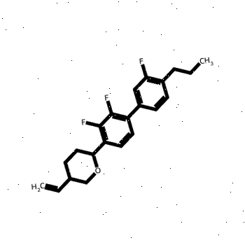 C=CC1CCC(c2ccc(-c3ccc(CCC)c(F)c3)c(F)c2F)OC1